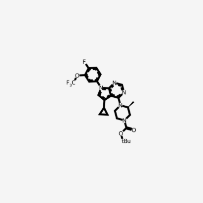 C[C@H]1CN(C(=O)OC(C)(C)C)CCN1c1ncnc2c1c(C1CC1)cn2-c1ccc(F)c(OC(F)(F)F)c1